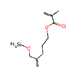 C=C(CCCOC(=O)C(=C)C)CO[SiH3]